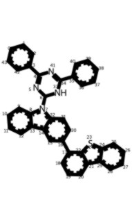 c1ccc(C2=NC(n3c4ccccc4c4cc(-c5cccc6c5sc5ccccc56)ccc43)NC(c3ccccc3)=N2)cc1